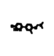 Cc1cc(-c2ccc(=O)[nH]n2)ccc1OCN(C)C